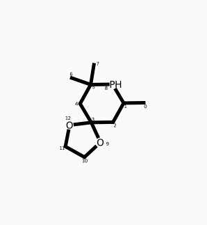 CC1CC2(CC(C)(C)P1)OCCO2